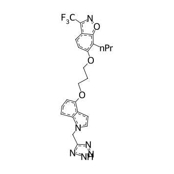 CCCc1c(OCCCOc2cccc3c2ccn3Cc2nn[nH]n2)ccc2c(C(F)(F)F)noc12